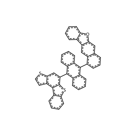 c1cc(-c2c3ccccc3c(-c3cc4sccc4c4c3sc3ccccc34)c3ccccc23)c2cc3c(cc2c1)oc1ccccc13